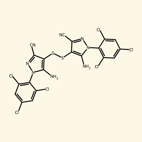 N#Cc1nn(-c2c(Cl)cc(Cl)cc2Cl)c(N)c1SSc1c(C#N)nn(-c2c(Cl)cc(Cl)cc2Cl)c1N